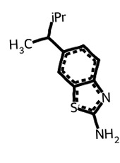 CC(C)C(C)c1ccc2nc(N)sc2c1